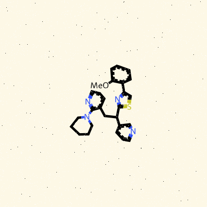 COc1ccccc1-c1csc(C(Cc2cccnc2N2CCCCC2)c2cccnc2)n1